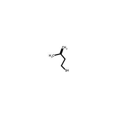 C=C(C)CCS